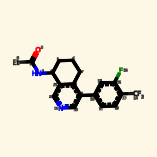 CCC(=O)NC1CCCc2c(-c3ccc(C(F)(F)F)c(F)c3)cncc21